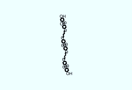 O=S(=O)(c1ccc(O)cc1)c1ccc(OC/C=C/COc2ccc(S(=O)(=O)c3ccc(OCCCCOc4ccc(S(=O)(=O)c5ccc(O)cc5)cc4)cc3)cc2)cc1